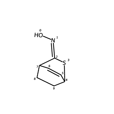 ON=C1SC2C=CC1CC2